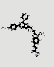 CNc1ccc(-c2nc(N3CCOCC3)c3sc(CNCc4nc5cc(/C=C/C(=O)NO)ccc5n4C)cc3n2)cn1